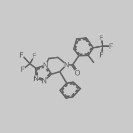 Cc1c(C(=O)N2CCn3c(nnc3C(F)(F)F)C2c2ccccc2)cccc1C(F)(F)F